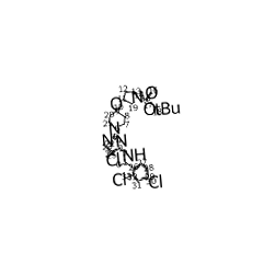 C[C@@H](Nc1nc(N2CCC(O[C@H]3CCN(C(=O)OC(C)(C)C)C3)CC2)ncc1Cl)c1ccc(Cl)cc1Cl